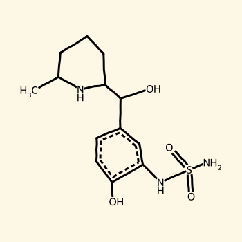 CC1CCCC(C(O)c2ccc(O)c(NS(N)(=O)=O)c2)N1